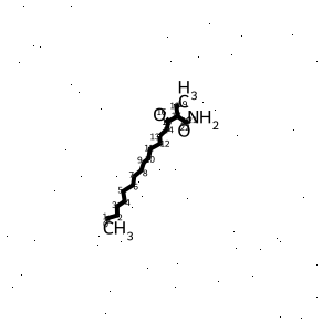 CCCCCCCCCCCCCCCC(=O)C(CC)C(N)=O